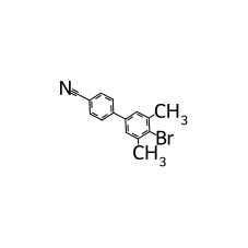 Cc1cc(-c2ccc(C#N)cc2)cc(C)c1Br